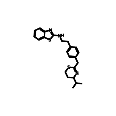 CC(C)C1CCSC(Cc2ccc(CCNc3nc4ccccc4s3)cc2)=N1